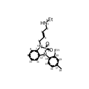 CCNCC=CCN1c2ccccc2N(c2ccc(C)cc2F)S1(=O)=O